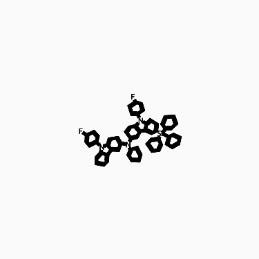 Fc1ccc(-n2c3ccccc3c3cc(N(c4ccccc4)c4ccc5c(c4)c4cc([Si](c6ccccc6)(c6ccccc6)c6ccccc6)ccc4n5-c4ccc(F)cc4)ccc32)cc1